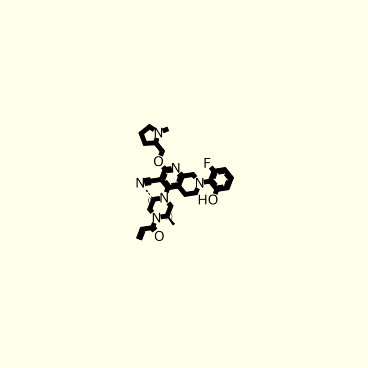 C=CC(=O)N1C[C@H](C)N(c2c(C#N)c(OCC3CCCN3C)nc3c2CCN(c2c(O)cccc2F)C3)C[C@H]1C